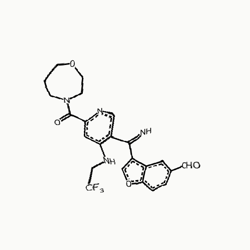 N=C(c1cnc(C(=O)N2CCCOCC2)cc1NCC(F)(F)F)c1coc2ccc(C=O)cc12